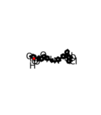 O=C1CC[C@H](N2Cc3c(ccc4c3OCC43CCN(C4CC(CN5CCC(c6ccc7c(c6)-n6c(nc(=O)c8c(Cl)cccc86)C76CCCCC6)CC5)C4)CC3)C2=O)C(=O)N1